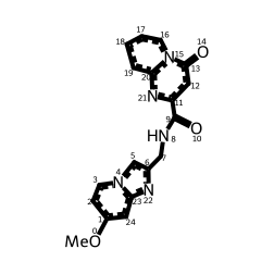 COc1ccn2cc(CNC(=O)c3cc(=O)n4ccccc4n3)nc2c1